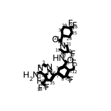 Nc1ncnn2c(-c3cc(F)c(CF)c(C(=O)N[C@@H]4CN(C(=O)C5CCC(F)(F)CC5)C[C@@H]4F)c3)cc(C(F)(F)F)c12